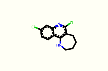 Clc1ccc2c3c(c(Cl)nc2c1)CCCCN3